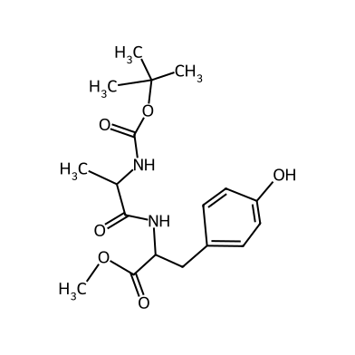 COC(=O)C(Cc1ccc(O)cc1)NC(=O)C(C)NC(=O)OC(C)(C)C